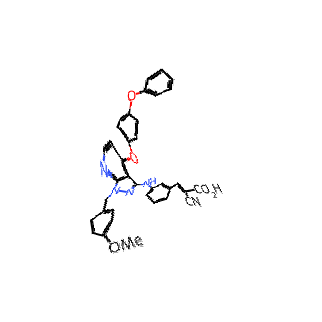 COc1ccc(Cn2nc(Nc3cccc(/C=C(\C#N)C(=O)O)c3)c3c(Oc4ccc(Oc5ccccc5)cc4)ccnc32)cc1